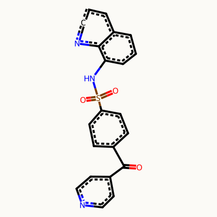 O=C(c1ccncc1)c1ccc(S(=O)(=O)Nc2cccc3cccnc23)cc1